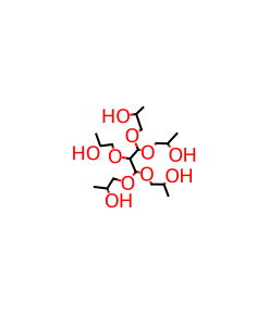 CC(O)COC(OCC(C)O)C(OCC(C)O)C(OCC(C)O)OCC(C)O